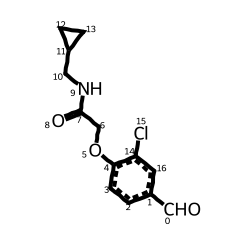 O=Cc1ccc(OCC(=O)NCC2CC2)c(Cl)c1